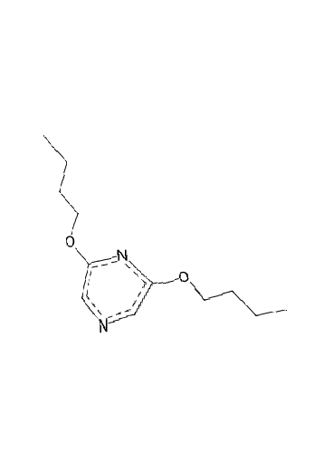 CCCCOc1cncc(OCCCC)n1